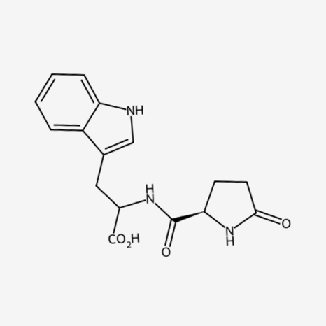 O=C1CC[C@H](C(=O)NC(Cc2c[nH]c3ccccc23)C(=O)O)N1